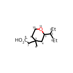 CCC(CC)C1CC(C)(CC(=O)O)CCO1